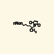 CCCCCCCCCCCCCC(C)CN1C(=O)C=CC1=O